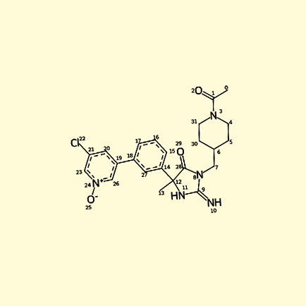 CC(=O)N1CCC(CN2C(=N)NC(C)(c3cccc(-c4cc(Cl)c[n+]([O-])c4)c3)C2=O)CC1